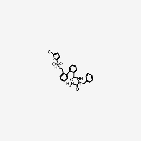 NC(=O)[C@H](Cc1ccccc1)NC(=O)c1ccccc1-c1ccccc1CNS(=O)(=O)c1ccc(Cl)s1